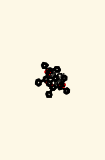 N#Cc1c(-n2c3ccccc3c3ccccc32)c(-n2c3ccc(-c4ccccc4)cc3c3cc(-c4ccccc4)ccc32)c(-c2ccccc2)c(-n2c3ccc(-c4ccccc4)cc3c3cc(-c4ccccc4)ccc32)c1-n1c2ccccc2c2ccccc21